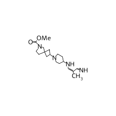 COC(=O)N1CCC2(CC(N3CCC(N/C=C(/C)C=N)CC3)C2)C1